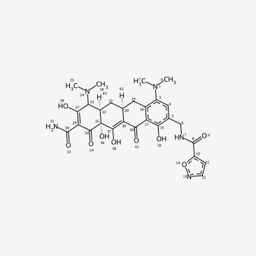 CN(C)c1cc(CNC(=O)c2ccno2)c(O)c2c1C[C@@H]1C[C@@H]3C(N(C)C)C(O)=C(C(N)=O)C(=O)[C@]3(O)C(O)=C1C2=O